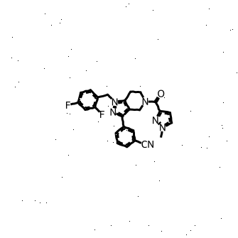 Cn1ccc(C(=O)N2CCc3c(c(-c4cccc(C#N)c4)nn3Cc3ccc(F)cc3F)C2)n1